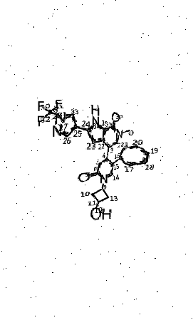 Cn1cc(-c2cc(=O)n(C3CC(O)C3)cc2-c2ccccc2)c2cc(-c3cnn(C(F)(F)F)c3)[nH]c2c1=O